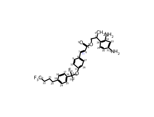 [CH2]C(COC(=O)/C=C/c1ccc(OC(F)(F)c2ccc(CCCC(F)(F)F)cc2)cc1)c1ccc(N)cc1N